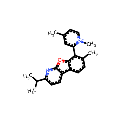 Cc1cc[n+](C)c(-c2c(C)ccc3c2oc2nc(C(C)C)ccc23)c1